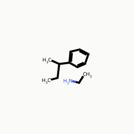 CCC(C)c1ccccc1.CCN